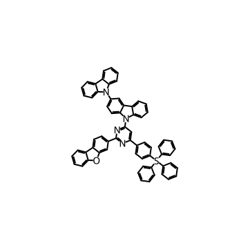 c1ccc(S(c2ccccc2)(c2ccccc2)c2ccc(-c3cc(-n4c5ccccc5c5cc(-n6c7ccccc7c7ccccc76)ccc54)nc(-c4ccc5c(c4)oc4ccccc45)n3)cc2)cc1